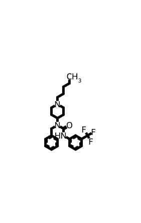 CCCCCN1CCC(N(Cc2ccccc2)C(=O)Nc2cccc(C(F)(F)F)c2)CC1